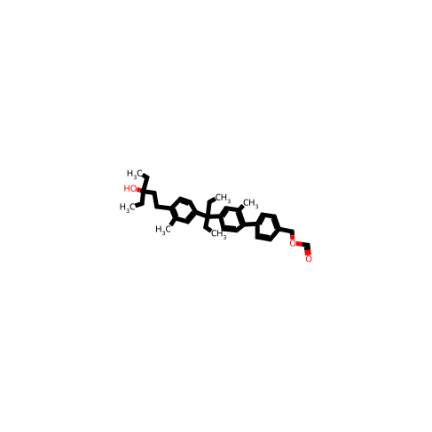 CCC(O)(CC)CCc1ccc(C(CC)(CC)c2ccc(-c3ccc(COC=O)cc3)c(C)c2)cc1C